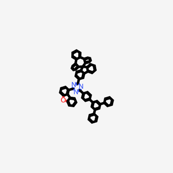 c1ccc(-c2cc(-c3ccccc3)cc(-c3ccc(-c4nc(-c5ccc6c(c5)-c5ccccc5C65c6ccccc6-c6ccccc6-c6ccccc65)nc(-c5cccc6oc7ccccc7c56)n4)cc3)c2)cc1